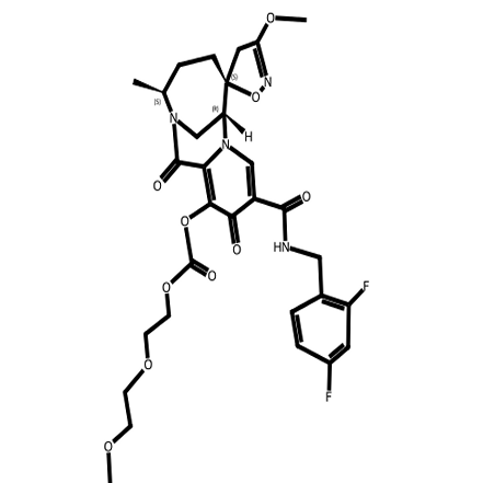 COCCOCCOC(=O)Oc1c2n(cc(C(=O)NCc3ccc(F)cc3F)c1=O)[C@@H]1CN(C2=O)[C@@H](C)CC[C@]12CC(OC)=NO2